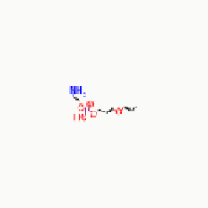 C/C=C/O/C=C/COP(=O)(O)OCCN